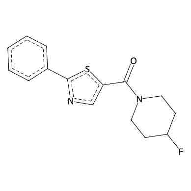 O=C(c1cnc(-c2ccccc2)s1)N1CCC(F)CC1